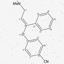 CNCC=C(Oc1ccc(C#N)cc1)c1ccccc1